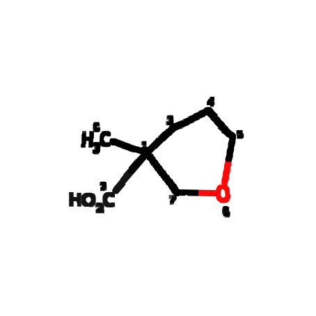 CC1(C(=O)O)CCCOC1